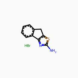 Br.Nc1nc2c(s1)Cc1ccccc1-2